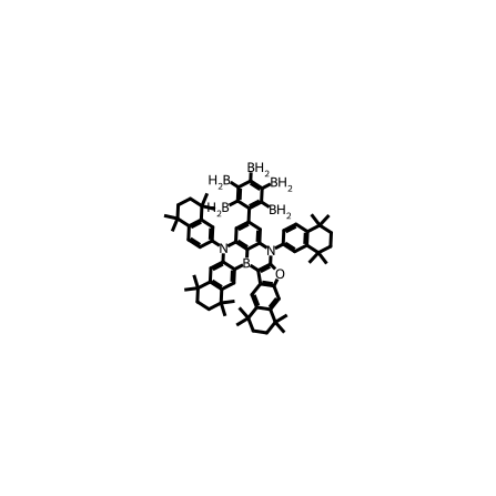 Bc1c(B)c(B)c(-c2cc3c4c(c2)N(c2ccc5c(c2)C(C)(C)CCC5(C)C)c2oc5cc6c(cc5c2B4c2cc4c(cc2N3c2ccc3c(c2)C(C)(C)CCC3(C)C)C(C)(C)CCC4(C)C)C(C)(C)CCC6(C)C)c(B)c1B